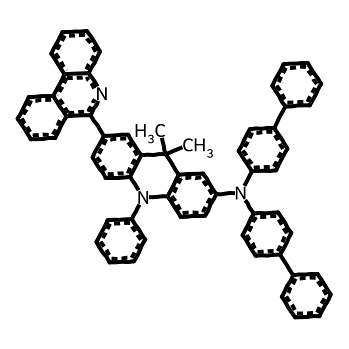 CC1(C)c2cc(-c3nc4ccccc4c4ccccc34)ccc2N(c2ccccc2)c2ccc(N(c3ccc(-c4ccccc4)cc3)c3ccc(-c4ccccc4)cc3)cc21